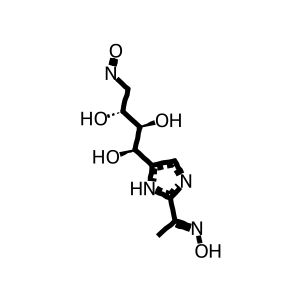 C/C(=N\O)c1ncc([C@@H](O)[C@H](O)[C@H](O)CN=O)[nH]1